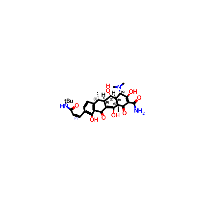 C[C@H]1c2ccc(/C=C\C(=O)NC(C)(C)C)c(O)c2C(=O)C2=C(O)[C@@]3(C)C(=O)C(C(N)=O)=C(O)[C@@H](N(C)C)[C@@H]3[C@@H](O)[C@@H]21